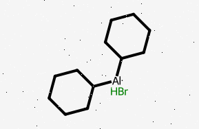 Br.C1CC[CH]([Al][CH]2CCCCC2)CC1